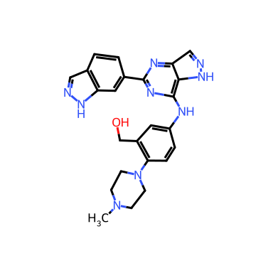 CN1CCN(c2ccc(Nc3nc(-c4ccc5cn[nH]c5c4)nc4cn[nH]c34)cc2CO)CC1